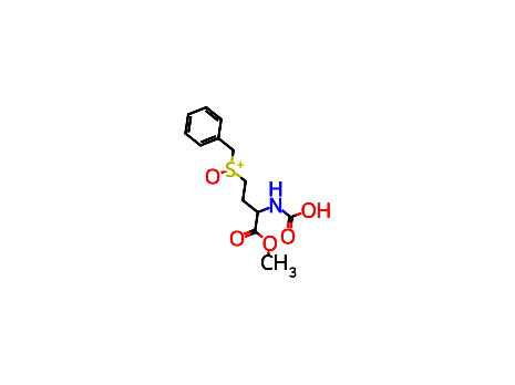 COC(=O)C(CC[S+]([O-])Cc1ccccc1)NC(=O)O